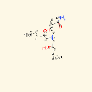 CCCCCCCCCCCCC(O)CN(CCC(C)C(N)=O)CC(O)CCCCCCCCCCCC